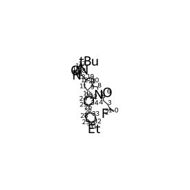 C=C(F)CCC(=O)N(CC12CCC(c3noc(C(C)(C)C)n3)(CC1)C2)c1cccc(-c2ccc(CC)cc2)c1